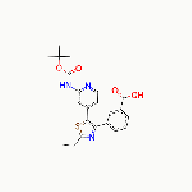 CCc1nc(-c2cccc(C(=O)O)c2)c(-c2ccnc(NC(=O)OC(C)(C)C)c2)s1